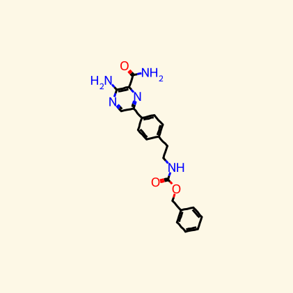 NC(=O)c1nc(-c2ccc(CCNC(=O)OCc3ccccc3)cc2)cnc1N